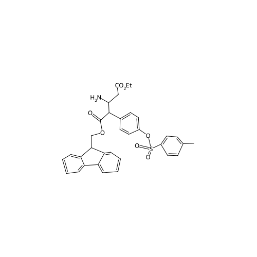 CCOC(=O)CC(N)C(C(=O)OCC1c2ccccc2-c2ccccc21)c1ccc(OS(=O)(=O)c2ccc(C)cc2)cc1